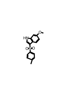 COc1ccc2c(S(=O)(=O)c3ccc(C)cc3)c[nH]c2c1